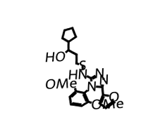 COc1cccc(OC)c1-n1c(NSCCC(O)C2CCCC2)nnc1-c1ccco1